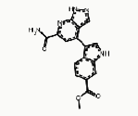 COC(=O)c1ccc2c(-c3cc(C(N)=O)nc4[nH]ncc34)c[nH]c2c1